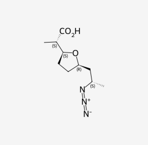 C[C@H](C(=O)O)[C@@H]1CC[C@H](C[C@H](C)N=[N+]=[N-])O1